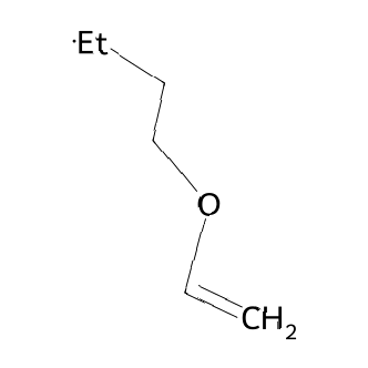 C=COCC[CH]C